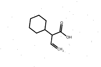 C=CC(C(=O)O)C1CCCCC1